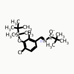 CC(C)(C)[S@@+]([O-])/N=C/c1ccc(Cl)c(O[Si](C)(C)C(C)(C)C)c1F